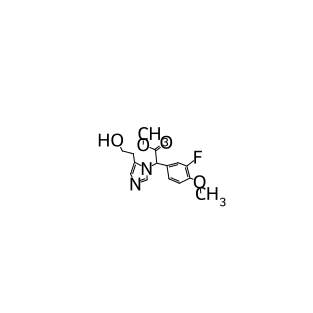 COC(=O)C(c1ccc(OC)c(F)c1)n1cncc1CCO